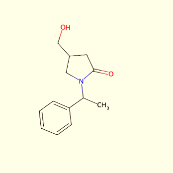 CC(c1ccccc1)N1CC(CO)CC1=O